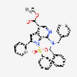 COC(=O)c1cnc(N(Cc2ccccc2)Cc2ccccc2)c2c1cc(-c1ccccc1)n2S(=O)(=O)c1ccccc1